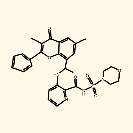 Cc1cc(C(C)Nc2cccnc2C(=O)NS(=O)(=O)N2CCOCC2)c2oc(-c3ccccc3)c(C)c(=O)c2c1